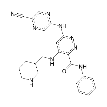 N#Cc1cnc(Nc2cc(NCC3CCCNC3)c(C(=O)Nc3ccccc3)nn2)cn1